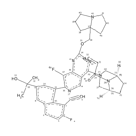 C#Cc1c(F)ccc2cc(C(C)(C)O)cc(-c3ncc4c(N5C[C@H]6CC[C@@H](C5)N6C(=O)C=C)nc(OCC56CCCN5CCC6)nc4c3F)c12